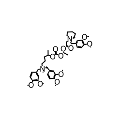 COc1ccc(C[N+](C)(CCCC(C)OC(=O)OC(C)OC(=O)C[N+]2(Cc3ccc(OC)c(OC)c3)CCCCC2)Cc2ccc(OC)c(OC)c2)cc1OC